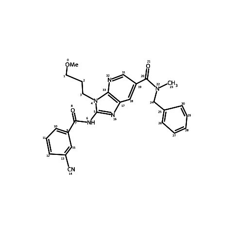 COCCCn1c(NC(=O)c2cccc(C#N)c2)nc2cc(C(=O)N(C)Cc3ccccc3)cnc21